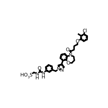 Cc1c(Cl)cccc1OCCCC(=O)N1CCCOc2c(-c3cnn(Cc4cccc(NC(=O)NCS(=O)(=O)O)c4)c3)cccc21